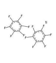 Fc1c(F)c(F)c(F)c(F)c1F.Fc1c(F)c(F)c(F)c(F)c1F.[Ti]